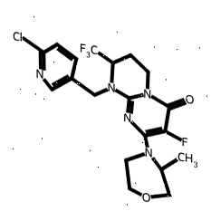 CC1COCCN1c1nc2n(c(=O)c1F)CCC(C(F)(F)F)N2Cc1ccc(Cl)nc1